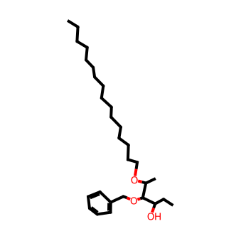 CCCCCCCCCCCCCCCCOC(C)C(OCc1ccccc1)C(O)CC